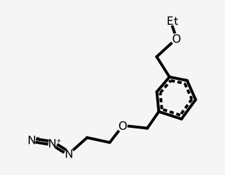 CCOCc1cccc(COCCN=[N+]=[N-])c1